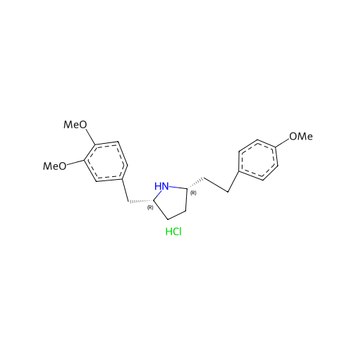 COc1ccc(CC[C@@H]2CC[C@H](Cc3ccc(OC)c(OC)c3)N2)cc1.Cl